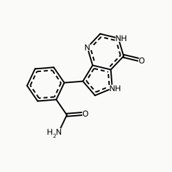 NC(=O)c1ccccc1-c1c[nH]c2c(=O)[nH]cnc12